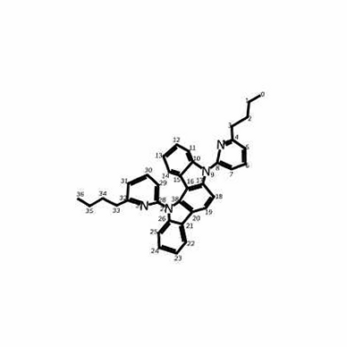 CCCCc1cccc(-n2c3ccccc3c3c2ccc2c4ccccc4n(-c4cccc(CCCC)n4)c23)n1